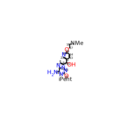 CCC[C@H](C)Oc1nc(N)c2ncc(C(O)c3ccc(OCCNC)nc3)n2n1